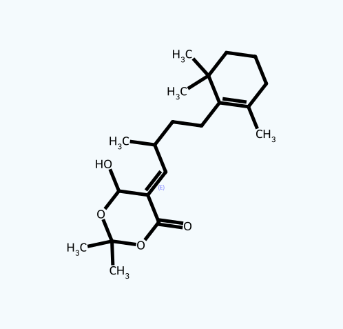 CC1=C(CCC(C)/C=C2/C(=O)OC(C)(C)OC2O)C(C)(C)CCC1